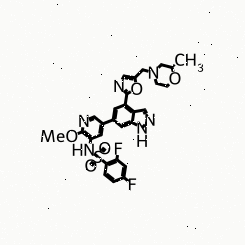 COc1ncc(-c2cc(-c3ncc(CN4CCO[C@H](C)C4)o3)c3cn[nH]c3c2)cc1NS(=O)(=O)c1ccc(F)cc1F